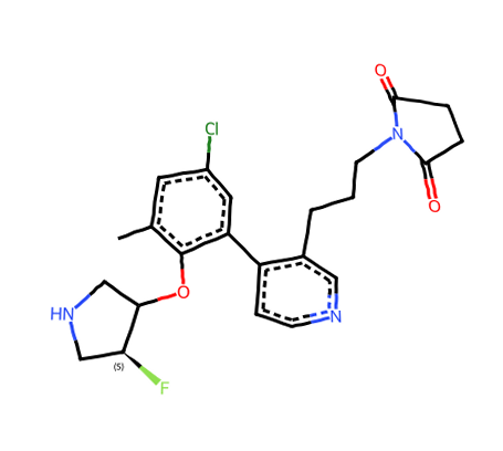 Cc1cc(Cl)cc(-c2ccncc2CCCN2C(=O)CCC2=O)c1OC1CNC[C@@H]1F